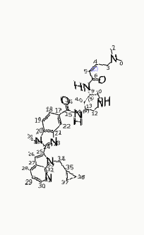 CN(C)C/C=C\C(=O)N[C@@H]1CNC[C@H](NC(=O)c2ccc3c(c2)nc(-c2cc4cccnc4n2CC2CC2)n3C)C1